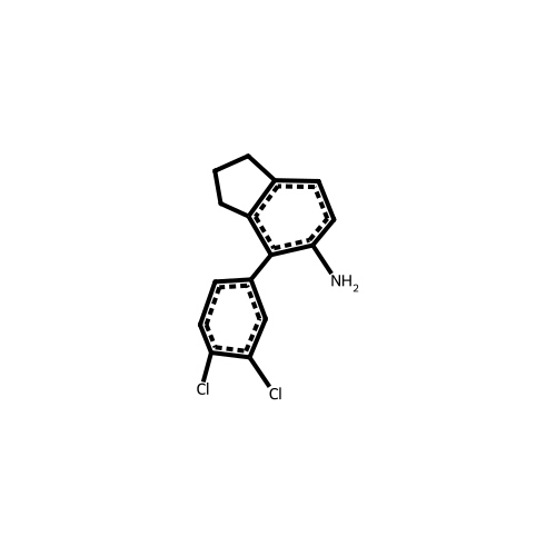 Nc1ccc2c(c1-c1ccc(Cl)c(Cl)c1)CCC2